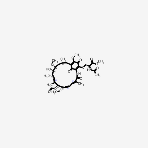 COC(=O)[C@H](CSC1=C2NC(=O)/C(C)=C/C=C\[C@H](OC)[C@@H](OC=O)/C(C)=C/[C@H](C)[C@@H](O)[C@@H](OC)C[C@H](C)CC(=C(OC)C1=O)C2=O)NC(C)=O